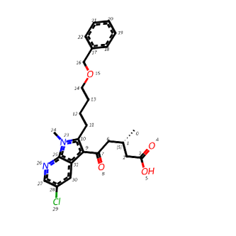 C[C@H](CC(=O)O)CC(=O)c1c(CCCCOCc2ccccc2)n(C)c2ncc(Cl)cc12